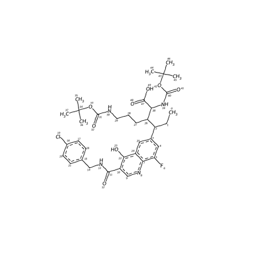 CCC(c1cc(F)c2ncc(C(=O)NCc3ccc(Cl)cc3)c(O)c2c1)C(CCCNC(=O)OC(C)(C)C)C(NC(=O)OC(C)(C)C)C(=O)O